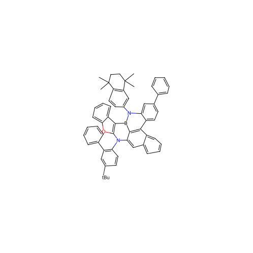 CC(C)(C)c1ccc(N2c3cc4ccccc4c4c3B(c3c2oc2ccccc32)N(c2ccc3c(c2)C(C)(C)CCC3(C)C)c2cc(-c3ccccc3)ccc2-4)c(-c2ccccc2)c1